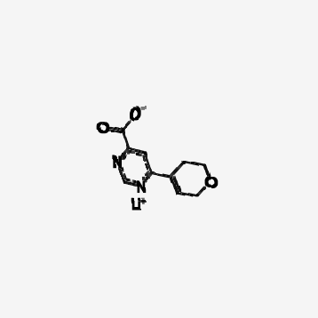 O=C([O-])c1cc(C2=CCOCC2)ncn1.[Li+]